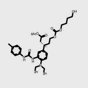 COC(=O)C[C@H](CCOC(=O)OCCCCO)c1ccc(N(CC(C)C)CC(C)C)c(NC(=O)Nc2ccc(C)cc2)c1